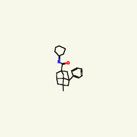 CC12CC3CC4(C(=O)N=C5CCCCC5)CC(c5ccccc5)(C1)C32C4